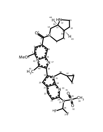 COc1cc(C(=O)N2CC[C@@H]3CCN[C@@H]3C2)cc2nc(-c3cc4ccc(N(C(F)F)S(C)(=O)=O)nc4n3CC3CC3)c(C)n12